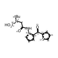 CC(C)(C)N(CC(=O)Nn1cccc1C(=O)c1cccs1)C(=O)O